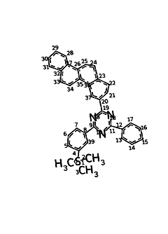 CS(C)(C)c1cccc(-c2nc(-c3ccccc3)nc(-c3ccc4ccc5c6ccccc6ccc5c4c3)n2)c1